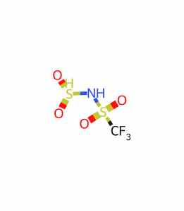 O=[SH](=O)NS(=O)(=O)C(F)(F)F